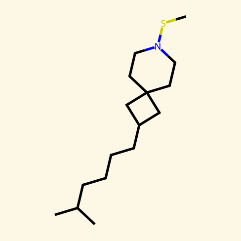 CSN1CCC2(CC1)CC(CCCCC(C)C)C2